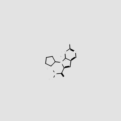 CN(C)C(=O)C1=CC2=CN=C(Cl)N[C@@H]2N1C1CCCC1